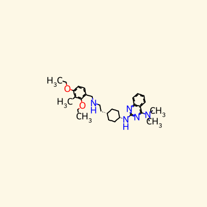 CCOc1ccc(CNCC[C@H]2CC[C@@H](Nc3nc(N(C)C)c4ccccc4n3)CC2)c(OCC)c1C